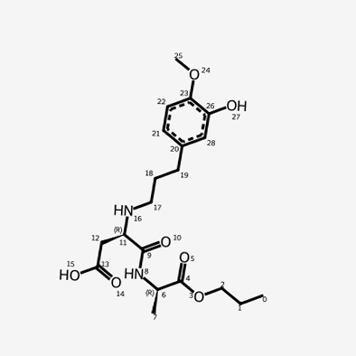 CCCOC(=O)[C@@H](C)NC(=O)[C@@H](CC(=O)O)NCCCc1ccc(OC)c(O)c1